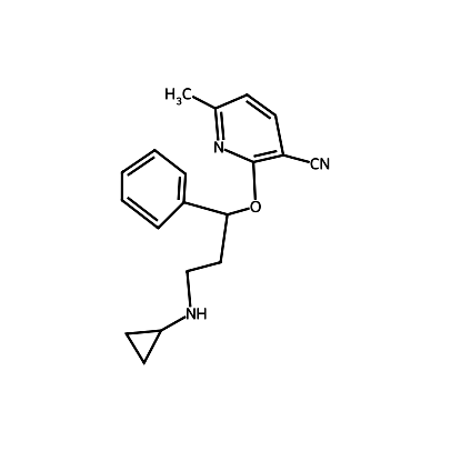 Cc1ccc(C#N)c(OC(CCNC2CC2)c2ccccc2)n1